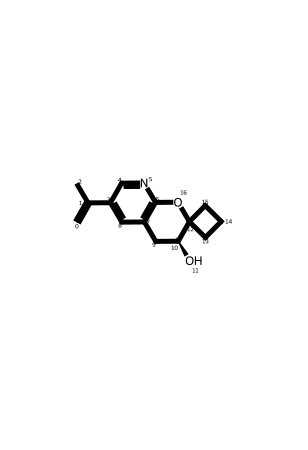 C=C(C)c1cnc2c(c1)C[C@H](O)C1(CCC1)O2